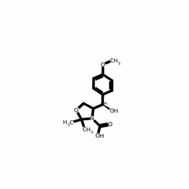 COc1ccc([C@@H](O)C2COC(C)(C)N2C(=O)O)cc1